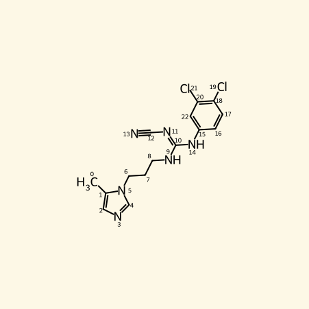 Cc1cncn1CCCNC(=NC#N)Nc1ccc(Cl)c(Cl)c1